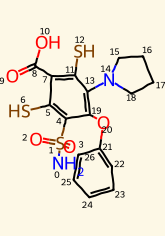 NS(=O)(=O)c1c(S)c(C(=O)O)c(S)c(N2CCCC2)c1Oc1ccccc1